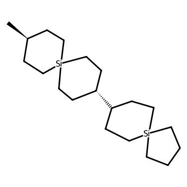 C[C@H]1CC[Si]2(CC1)CC[C@@H](C1CC[Si]3(CCCC3)CC1)CC2